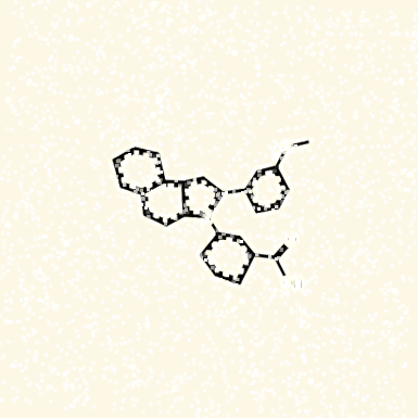 COc1cccc(-c2cc3c4ccccc4ccc3n2-c2cccc(C(=O)O)c2)c1